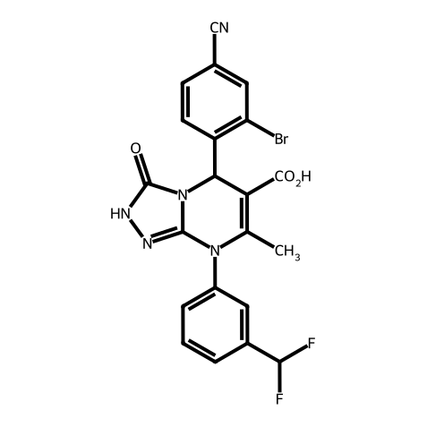 CC1=C(C(=O)O)C(c2ccc(C#N)cc2Br)n2c(n[nH]c2=O)N1c1cccc(C(F)F)c1